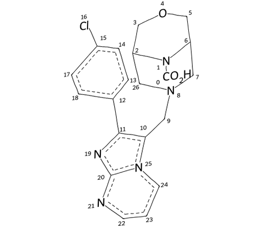 O=C(O)N1C2COCC1CN(Cc1c(-c3ccc(Cl)cc3)nc3ncccn13)C2